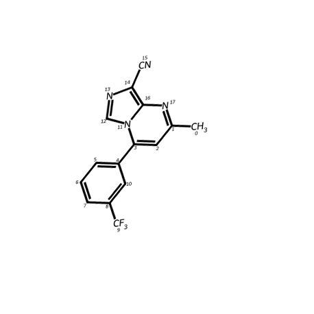 Cc1cc(-c2cccc(C(F)(F)F)c2)n2cnc(C#N)c2n1